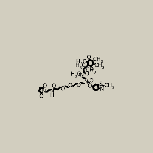 CC1=C(C)C(=O)C(C(C)(C)CC(=O)N(C)CCN(CCOCCOCCOCCC(=O)NCCN2C(=O)C=CC2=O)C(=O)Oc2ccc3nc(C)sc3c2)=C(C)C1=O